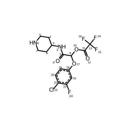 O=C(NC1CCNCC1)C(OC(=O)C(F)(F)F)Oc1ccc(Cl)c(F)c1